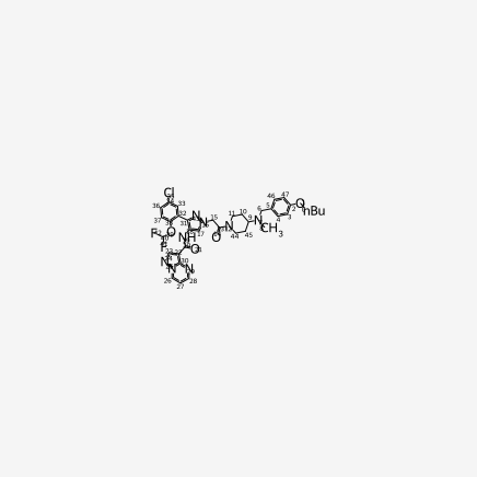 CCCCOc1ccc(CN(C)C2CCN(C(=O)Cn3cc(NC(=O)c4cnn5cccnc45)c(-c4cc(Cl)ccc4OC(F)F)n3)CC2)cc1